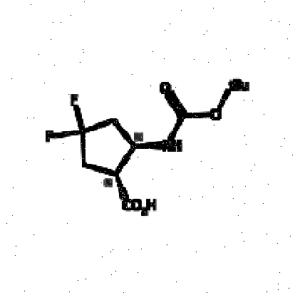 CC(C)(C)OC(=O)N[C@@H]1CC(F)(F)C[C@@H]1C(=O)O